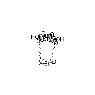 CC1(CCCCCCCCOP(=O)(O)OP(=O)(O)O)CO1.CCC1(CCCCCCCOP(=O)(O)OP(=O)(O)O)CO1